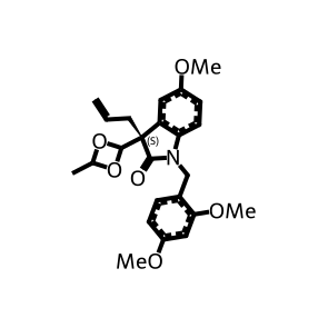 C=CC[C@]1(C2OC(C)O2)C(=O)N(Cc2ccc(OC)cc2OC)c2ccc(OC)cc21